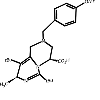 COc1ccc(CN2CC3=C(C(C)(C)C)[C@H](C)N=C(C(C)(C)C)N3[C@H](C(=O)O)C2)cc1